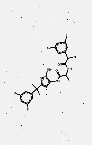 CC(NC(=O)C(O)c1cc(F)cc(F)c1)C(=O)Nc1cc(C(C)(C)c2cc(F)cc(F)c2)nn1C(C)(C)C